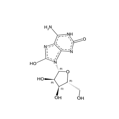 Nc1[nH]c(=O)nc2c1nc(O)n2[C@@H]1O[C@H](CO)[C@@H](O)[C@H]1O